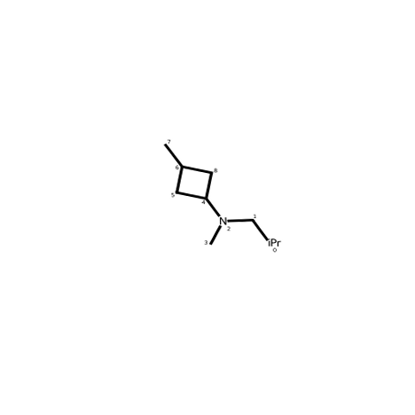 CC(C)CN(C)C1CC(C)C1